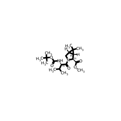 COC(=O)[C@@H]1[C@@H]2[C@H](CN1C(=O)[C@@H](NC(=O)OC(C)(C)C)C(C)C)C2(C)C